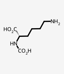 NCCCC[C@H](NC(=O)O)C(=O)O